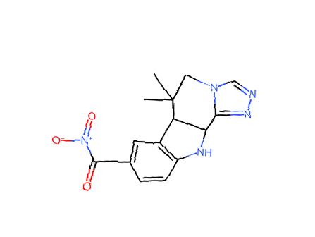 CC1(C)Cn2cnnc2C2Nc3ccc(C(=O)[N+](=O)[O-])cc3C21